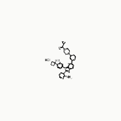 Cl.Nc1ncccc1-c1nc2ccc(-c3cccc(N4CCN(C(=O)C5CC5)CC4)c3)nc2n1-c1ccc(C2(N)CCC2)cc1